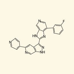 Fc1cccc(-c2cncc3[nH]c(-c4n[nH]c5cnc(-c6ccncc6)cc45)nc23)c1